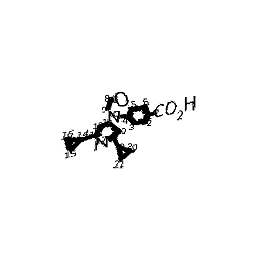 O=C(O)c1ccc2c(c1)OCCN2c1cc(C2CC2)nc(C2CC2)c1